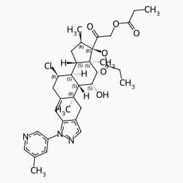 CCC(=O)OCC(=O)[C@@]1(OC(=O)CC)[C@H](C)C[C@H]2[C@H]3[C@H]([C@@H](O)C[C@@]21C)[C@@]1(C)Cc2cnn(-c4cncc(C)c4)c2C=C1C[C@H]3Cl